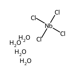 O.O.O.O.[Cl][Nb]([Cl])([Cl])[Cl]